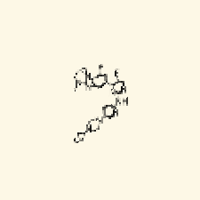 CN1CCOn2c1nc1cc(-c3nc(Nc4ccc(N5CCN(C6COC6)CC5)cn4)ncc3F)cc(F)c12